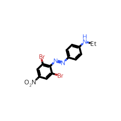 CCNc1ccc(N=Nc2c(Br)cc([N+](=O)[O-])cc2Br)cc1